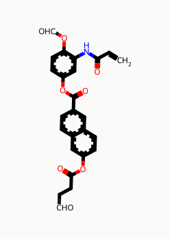 C=CC(=O)Nc1cc(OC(=O)c2ccc3cc(OC(=O)CCC=O)ccc3c2)ccc1OC=O